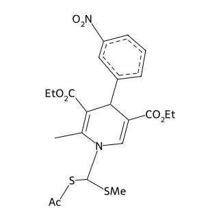 CCOC(=O)C1=CN(C(SC)SC(C)=O)C(C)=C(C(=O)OCC)C1c1cccc([N+](=O)[O-])c1